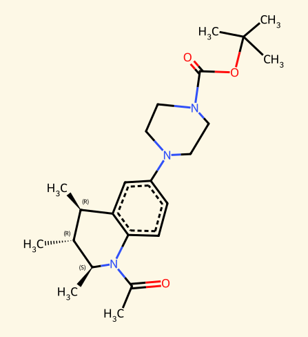 CC(=O)N1c2ccc(N3CCN(C(=O)OC(C)(C)C)CC3)cc2[C@H](C)[C@@H](C)[C@@H]1C